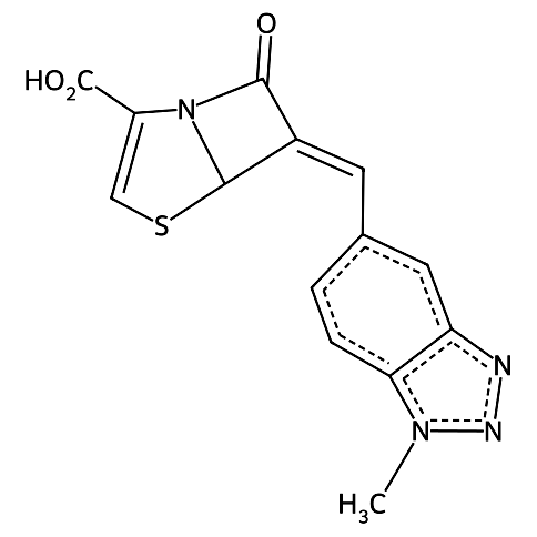 Cn1nnc2cc(/C=C3/C(=O)N4C(C(=O)O)=CSC34)ccc21